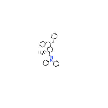 Cc1cc(C(Cc2ccccc2)Cc2ccccc2)ccc1C=NN(c1ccccc1)c1ccccc1